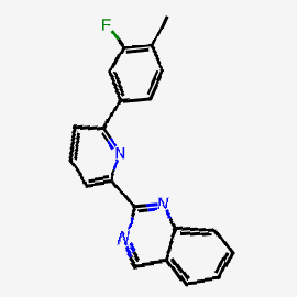 Cc1ccc(-c2cccc(-c3ncc4ccccc4n3)n2)cc1F